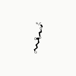 C=COCCOC(=O)CCCCCl